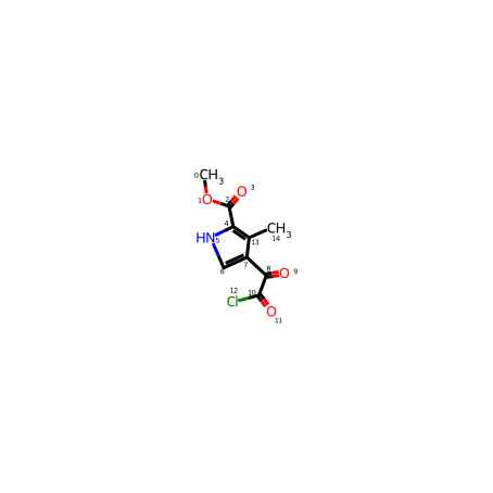 COC(=O)c1[nH]cc(C(=O)C(=O)Cl)c1C